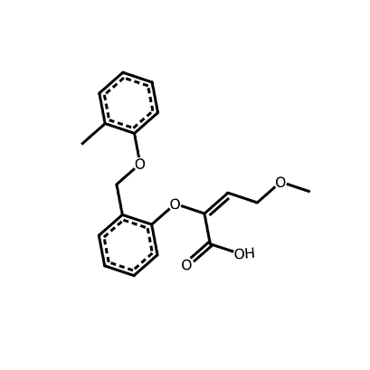 COCC=C(Oc1ccccc1COc1ccccc1C)C(=O)O